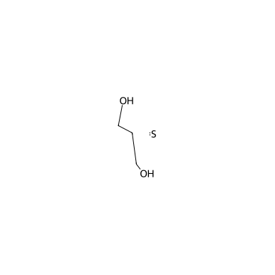 OCCCO.[S]